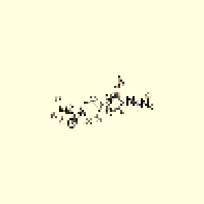 CN(C)/C=N/c1ccc(C2=CCN(C(=O)OC(C)(C)C)CC2)nc1C#N